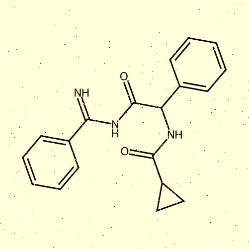 N=C(NC(=O)C(NC(=O)C1CC1)c1ccccc1)c1ccccc1